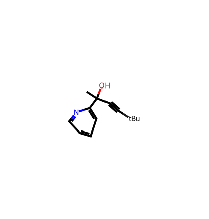 CC(C)(C)C#CC(C)(O)c1ccccn1